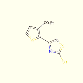 CCOC(=O)c1ccsc1-c1csc(S)n1